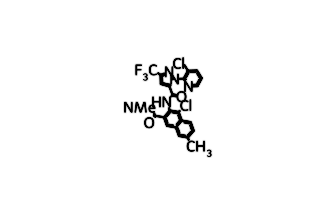 CNC(=O)c1cc2cc(C)ccc2c(Cl)c1NC(=O)c1cc(C(F)(F)F)nn1-c1ncccc1Cl